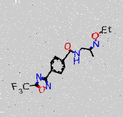 CCO/N=C(/C)CNC(=O)c1ccc(-c2noc(C(F)(F)F)n2)cc1